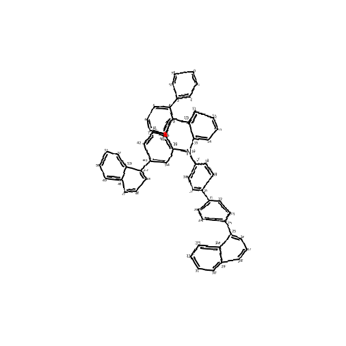 c1ccc(-c2ccccc2-c2ccccc2N(c2ccc(-c3ccc(-c4cccc5ccccc45)cc3)cc2)c2cccc(-c3cccc4ccccc34)c2)cc1